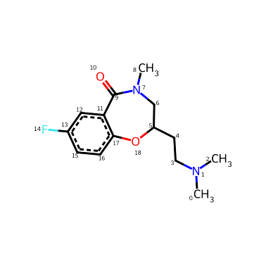 CN(C)CCC1CN(C)C(=O)c2cc(F)ccc2O1